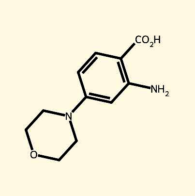 Nc1cc(N2CCOCC2)ccc1C(=O)O